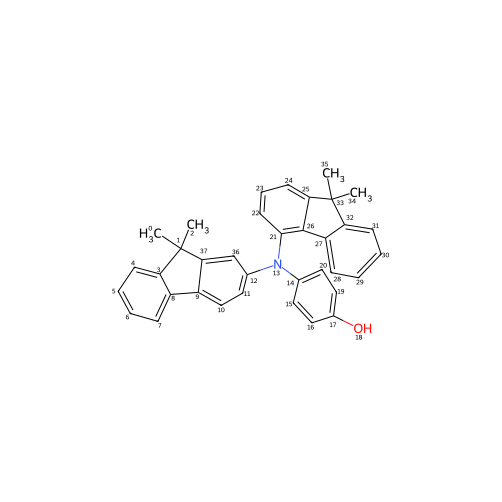 CC1(C)c2ccccc2-c2ccc(N(c3ccc(O)cc3)c3cccc4c3-c3ccccc3C4(C)C)cc21